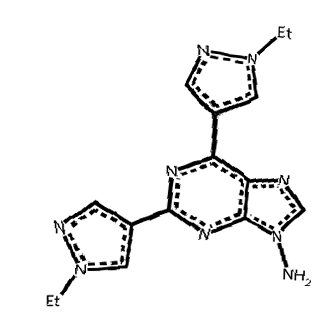 CCn1cc(-c2nc(-c3cnn(CC)c3)c3ncn(N)c3n2)cn1